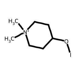 C[N+]1(C)CCC(OI)CC1